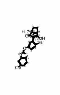 CCc1ccc(Oc2nc3cc(Cl)ccc3s2)cc1C1=C(O)C2=C(C)[C@](C)(CC2)C1=O